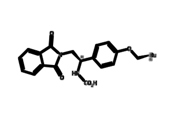 CC[C@H](C)COc1ccc([C@H](CN2C(=O)c3ccccc3C2=O)NC(=O)O)cc1